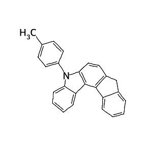 Cc1ccc(-n2c3ccccc3c3c4c(ccc32)Cc2ccccc2-4)cc1